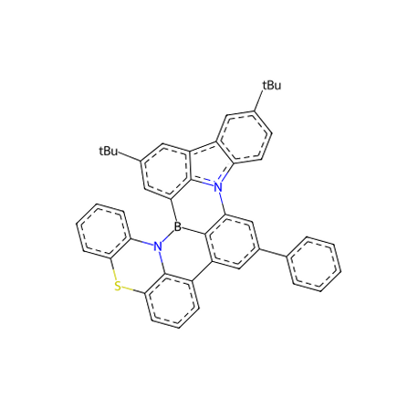 CC(C)(C)c1ccc2c(c1)c1cc(C(C)(C)C)cc3c1n2-c1cc(-c2ccccc2)cc2c1B3N1c3ccccc3Sc3cccc-2c31